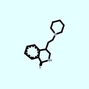 S=C1NCC(CCN2CCCCC2)c2ccccc21